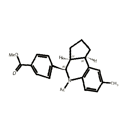 COC(=O)c1ccc([C@H]2[C@H]3CCC[C@H]3c3cc(C)ccc3N2C(C)=O)cc1